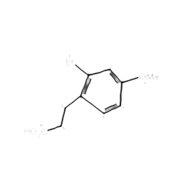 CCc1cc(OC)ccc1CCC(=O)O